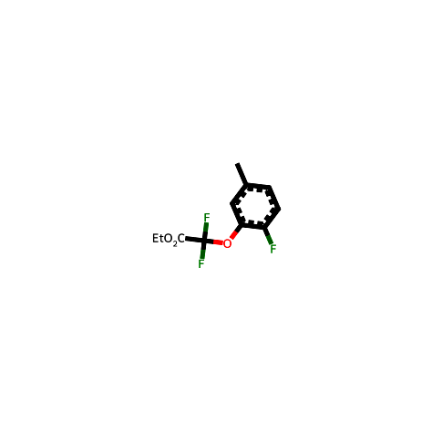 CCOC(=O)C(F)(F)Oc1cc(C)ccc1F